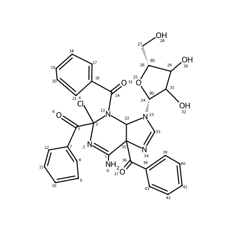 NC1=NC(Cl)(C(=O)c2ccccc2)N(C(=O)c2ccccc2)C2N([C@@H]3O[C@H](CO)C(O)C3O)C=NC12C(=O)c1ccccc1